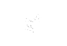 CC(C)c1cc(=O)n2nc(C3CCCN3C(=O)CN3CCc4ccccc43)sc2n1